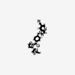 Cc1nc([C@@H]2CCON2C(=O)[C@H]2CC[C@H](Cn3ncc4ncc(C#N)cc43)CC2)cs1